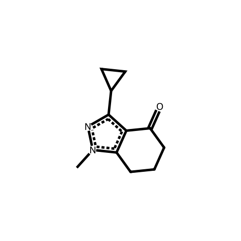 Cn1nc(C2CC2)c2c1CCCC2=O